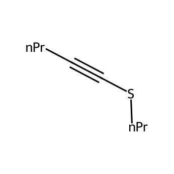 CCCC#CSCCC